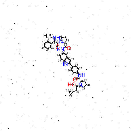 CN[C@@H](C(=O)N1CCC[C@H]1C(=O)Nc1ccc2[nH]c(-c3ccc(NC(=O)[C@@H]4CCCN4C(O)CC4CC4)cc3)cc2c1)c1ccccc1